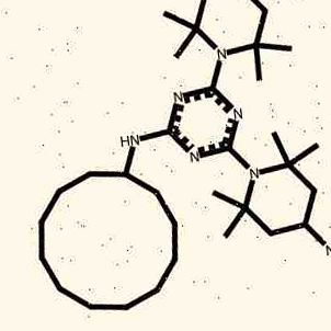 CC1(C)CCCC(C)(C)N1c1nc(NC2CCCCCCCCCCC2)nc(N2C(C)(C)CC(N)CC2(C)C)n1